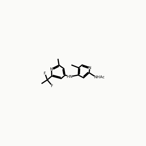 CC(=O)Nc1cc(Nc2cc(C)nc(C(C)(F)F)c2)c(C)cn1